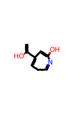 C=C(O)C1=CCC=NC(O)=C1